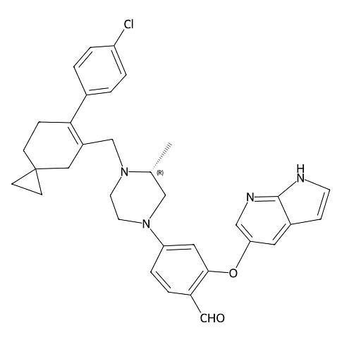 C[C@@H]1CN(c2ccc(C=O)c(Oc3cnc4[nH]ccc4c3)c2)CCN1CC1=C(c2ccc(Cl)cc2)CCC2(CC2)C1